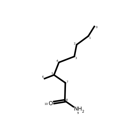 CCCCCC(C)CC(N)=O